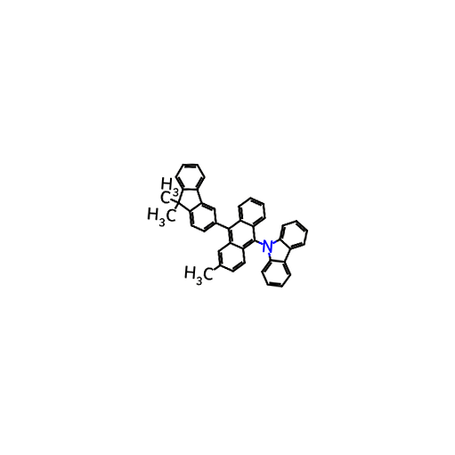 Cc1ccc2c(-n3c4ccccc4c4ccccc43)c3ccccc3c(-c3ccc4c(c3)-c3ccccc3C4(C)C)c2c1